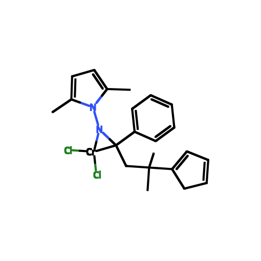 Cc1ccc(C)n1[N]1[C](CC(C)(C)C2=CC=CC2)(c2ccccc2)[Cr]1([Cl])[Cl]